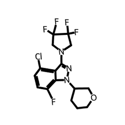 Fc1ccc(Cl)c2c(N3CC(F)(F)C(F)(F)C3)nn(C3CCCOC3)c12